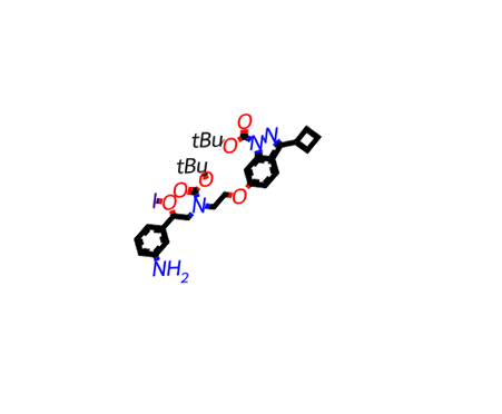 CC(C)(C)OC(=O)N(CCOc1ccc2c(C3CCC3)nn(C(=O)OC(C)(C)C)c2c1)CC(OI)c1cccc(N)c1